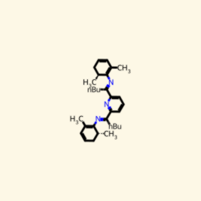 CCCC/C(=N\C1=C(C)C=CC[C@H]1C)c1cccc(/C(CCCC)=N/C2=C(C)C=CC[C@@H]2C)n1